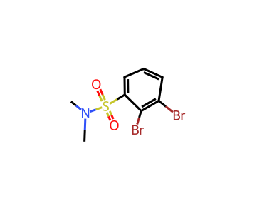 CN(C)S(=O)(=O)c1cccc(Br)c1Br